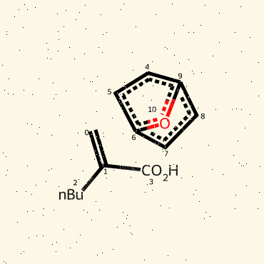 C=C(CCCC)C(=O)O.c1cc2ccc1o2